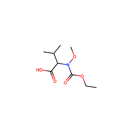 CCOC(=O)N(OC)C(C(=O)O)C(C)C